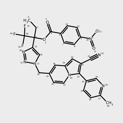 CCC(OC(=O)c1ccc([N+](=O)[O-])cc1)(c1cn(Cc2ccn3c(-c4ccc(C)nc4)c(C#N)cc3c2)nn1)C(F)(F)F